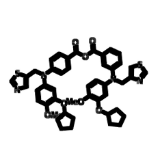 COc1ccc(N(Cc2cscn2)c2cccc(C(=O)OC(=O)c3ccc(N(Cc4cncs4)c4ccc(OC)c(OC5CCCC5)c4)cc3)c2)cc1OC1CCCC1